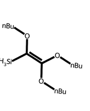 CCCCOC([SiH3])=C(OCCCC)OCCCC